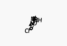 Cc1ccc(Cl)cc1C12CC1C(C)N(C(=O)c1cnn3c1NCCC3(C)C)C2